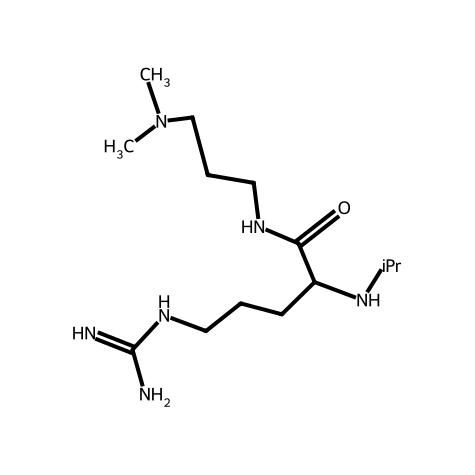 CC(C)NC(CCCNC(=N)N)C(=O)NCCCN(C)C